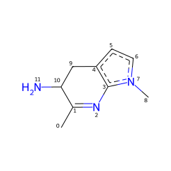 CC1=Nc2c(ccn2C)CC1N